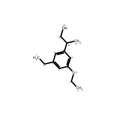 CCOc1cc(CC)cc([C](C)CO)c1